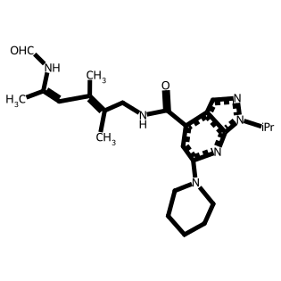 C/C(=C/C(C)=C(\C)CNC(=O)c1cc(N2CCCCC2)nc2c1cnn2C(C)C)NC=O